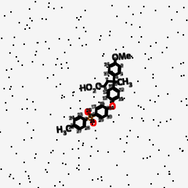 COc1ccc(C(C)(CCC(=O)O)c2ccc(Oc3ccc(S(=O)(=O)c4ccc(C)cc4)cc3)cc2)cc1